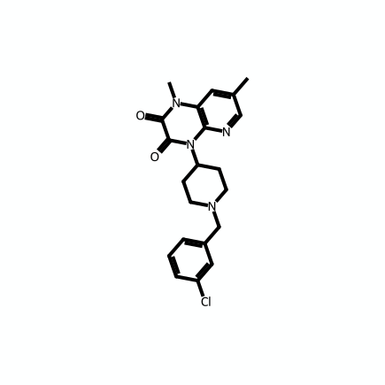 Cc1cnc2c(c1)n(C)c(=O)c(=O)n2C1CCN(Cc2cccc(Cl)c2)CC1